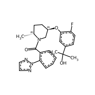 C[C@@H]1CC[C@@H](Oc2cc(C(C)(C)O)ccc2F)CN1C(=O)c1ccccc1-n1nccn1